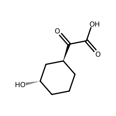 O=C(O)C(=O)[C@H]1CCC[C@H](O)C1